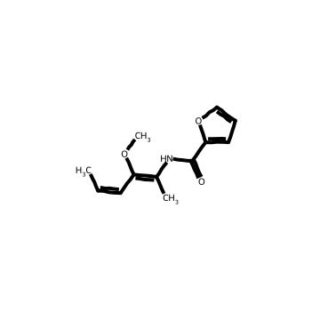 C/C=C\C(OC)=C(/C)NC(=O)c1ccco1